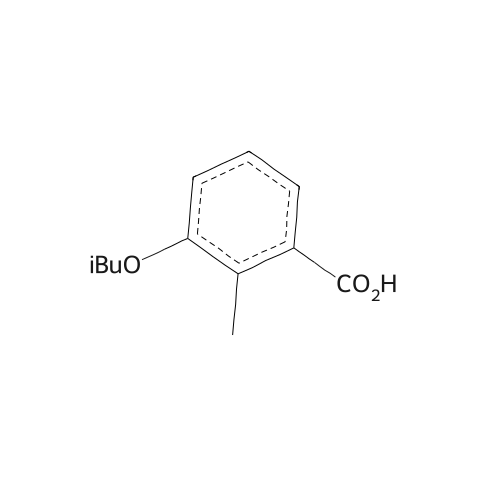 Cc1c(OCC(C)C)cccc1C(=O)O